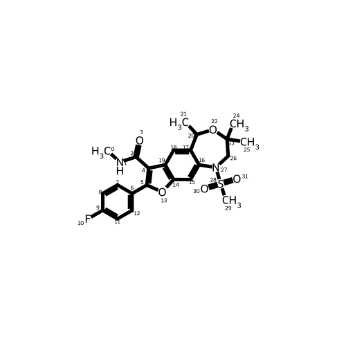 CNC(=O)c1c(-c2ccc(F)cc2)oc2cc3c(cc12)C(C)OC(C)(C)CN3S(C)(=O)=O